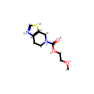 COCCOC(=O)N1CCc2ncsc2C1